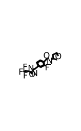 CN(C(=O)c1ccc(-c2noc(C(F)(F)F)n2)cc1F)C1CCOC1